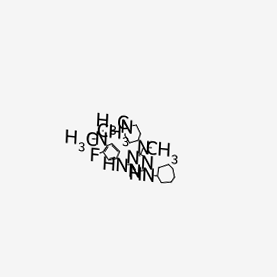 CN1CCC(N(C)c2nc(Nc3ccc(N(C)C)c(F)c3)nc(NC3CCCCCC3)n2)CC1